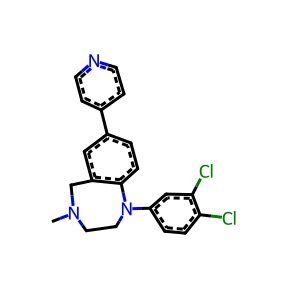 CN1CCN(c2ccc(Cl)c(Cl)c2)c2ccc(-c3ccncc3)cc2C1